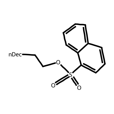 CCCCCCCCCCCCOS(=O)(=O)c1cccc2ccccc12